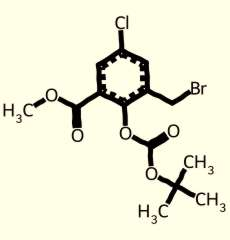 COC(=O)c1cc(Cl)cc(CBr)c1OC(=O)OC(C)(C)C